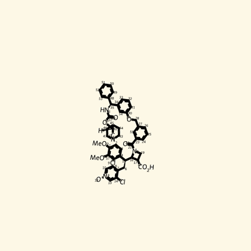 COc1ccc([C@H](Cc2c(Cl)c[n+]([O-])cc2Cl)C2C(C(=O)O)CN2C(=O)c2cccc(COc3cccc([C@@H](NC(=O)O[C@H]4CN5CCC4CC5)c4ccccc4)c3)c2)cc1OC